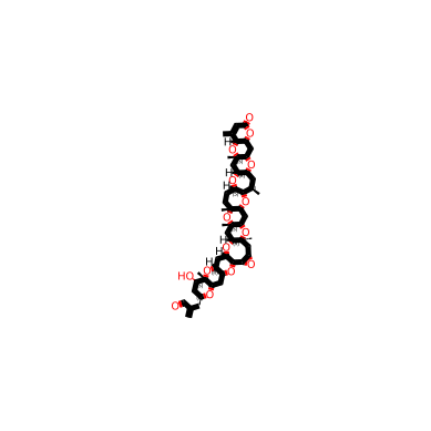 C=C(C=O)C[C@@H]1C[C@H](O)[C@]2(C)O[C@@H]3C[C@@H]4O[C@@H]5C[C@]6(C)O[C@]7(C)CC[C@@H]8O[C@@H]9C[C@]%10(C)O[C@@H]%11C(C)=CC(=O)OC%11CC%10OC9C[C@@H](C)C8OC7CC6O[C@@]5(C)CC5OC5C4OC3CC2O1